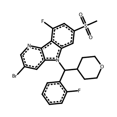 CS(=O)(=O)c1cc(F)c2c3ncc(Br)cc3n(C(c3ccccc3F)C3CCOCC3)c2c1